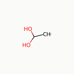 [CH]C(O)O